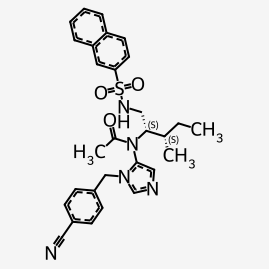 CC[C@H](C)[C@@H](CNS(=O)(=O)c1ccc2ccccc2c1)N(C(C)=O)c1cncn1Cc1ccc(C#N)cc1